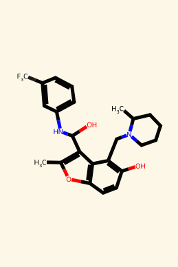 Cc1oc2ccc(O)c(CN3CCCCC3C)c2c1C(O)Nc1cccc(C(F)(F)F)c1